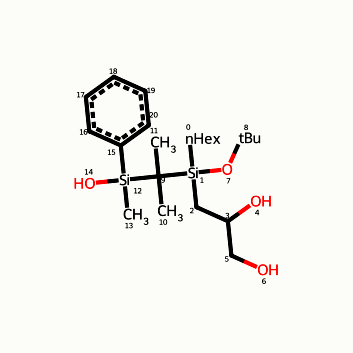 CCCCCC[Si](CC(O)CO)(OC(C)(C)C)C(C)(C)[Si](C)(O)c1ccccc1